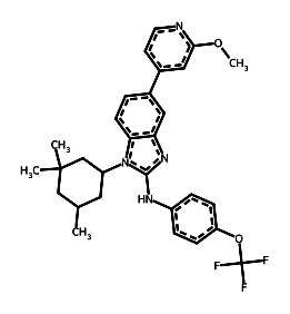 COc1cc(-c2ccc3c(c2)nc(Nc2ccc(OC(F)(F)F)cc2)n3C2CC(C)CC(C)(C)C2)ccn1